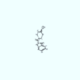 O=C1CCC(Nc2nc3ccccc3[nH]2)CC1